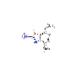 C=Cc1ccc(OC)c2nc(N)sc12